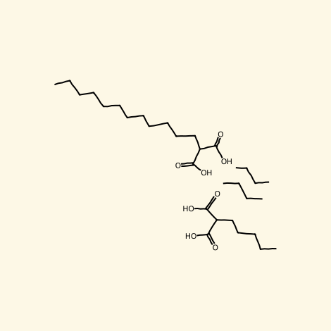 CCCC.CCCC.CCCCCC(C(=O)O)C(=O)O.CCCCCCCCCCCCC(C(=O)O)C(=O)O